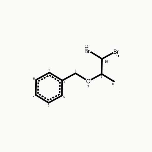 CC(OCc1ccccc1)C(Br)Br